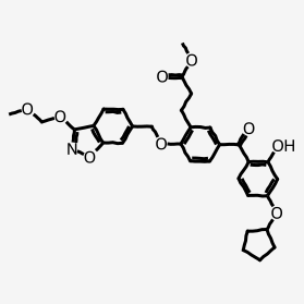 COCOc1noc2cc(COc3ccc(C(=O)c4ccc(OC5CCCC5)cc4O)cc3CCC(=O)OC)ccc12